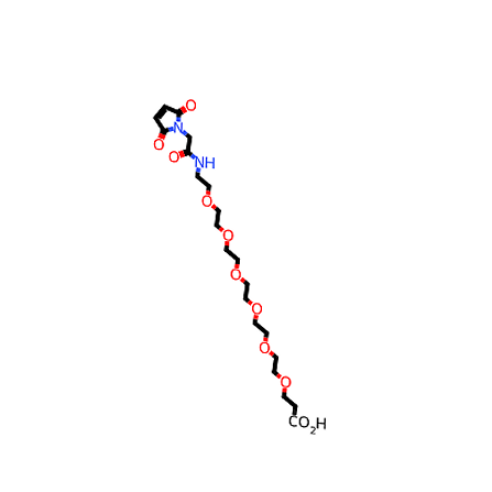 O=C(O)CCOCCOCCOCCOCCOCCOCCNC(=O)CN1C(=O)C=CC1=O